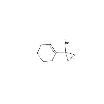 CC(=O)C1(C2=CCCCC2)CC1